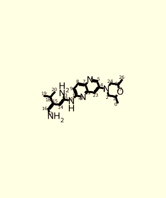 CC1CN(c2cnc3ccc(N/C(N)=C/C(=C\N)C(C)C)nc3c2)CC(C)O1